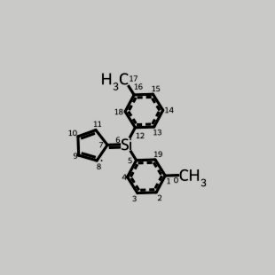 Cc1cccc([Si](=C2[C]=CC=C2)c2cccc(C)c2)c1